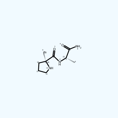 CC(C)[C@@]1(C(=O)N[C@@H](C)C(N)=O)CCCN1